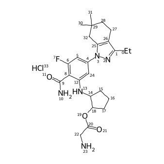 CCc1nn(-c2cc(F)c(C(N)=O)c(NC3CCCC3OC(=O)CN)c2)c2c1CCC(C)(C)C2.Cl